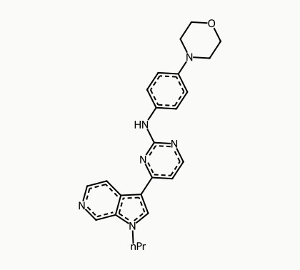 CCCn1cc(-c2ccnc(Nc3ccc(N4CCOCC4)cc3)n2)c2ccncc21